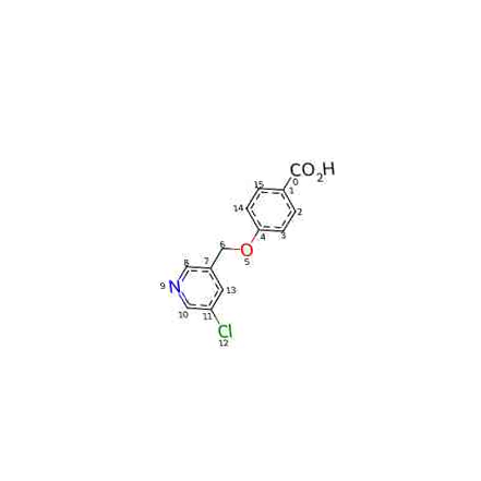 O=C(O)c1ccc(OCc2cncc(Cl)c2)cc1